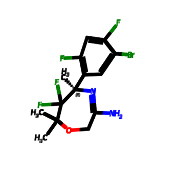 CC1(C)OCC(N)=N[C@](C)(c2cc(Br)c(F)cc2F)C1(F)F